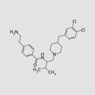 CC(C)C(CN1CCC(Cc2ccc(Cl)c(Cl)c2)CC1)NC(=O)c1ccc(CCN)cc1